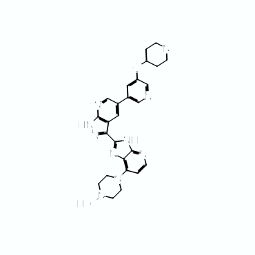 CN1CCN(c2ccnc3[nH]c(-c4n[nH]c5ncc(-c6cncc(OC7CCNCC7)c6)cc45)nc23)CC1